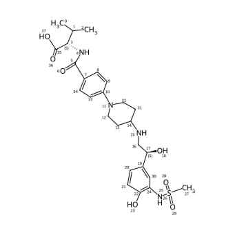 CC(C)[C@H](NC(=O)c1ccc(N2CCC(NC[C@@H](O)c3ccc(O)c(NS(C)(=O)=O)c3)CC2)cc1)C(=O)O